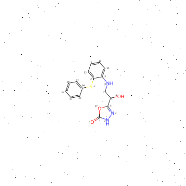 O=c1[nH]nc(C(O)CNc2ccccc2Sc2ccccc2)o1